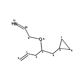 C=CCC(CC1CC1)OCC=N